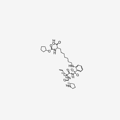 C=C[C@@H]1C[C@]1(NC(=O)[C@@H]1CCCN1)C(=O)NS(=O)(=O)c1ccccc1NCCCCCCCC(NC(=O)OC1CCCC1)C(=O)O